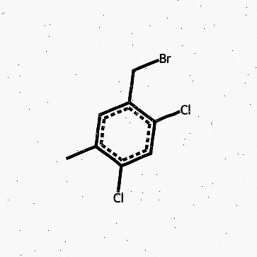 Cc1cc(CBr)c(Cl)cc1Cl